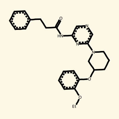 CCOc1ccccc1OC1CCCN(c2cncc(NC(=O)CCc3ccccc3)n2)C1